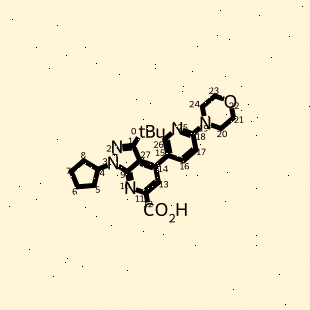 CC(C)(C)c1nn(C2CCCC2)c2nc(C(=O)O)cc(-c3ccc(N4CCOCC4)nc3)c12